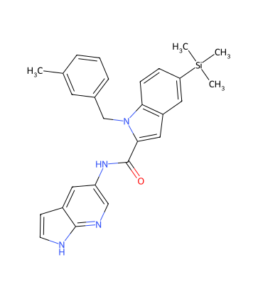 Cc1cccc(Cn2c(C(=O)Nc3cnc4[nH]ccc4c3)cc3cc([Si](C)(C)C)ccc32)c1